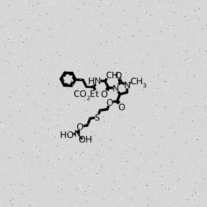 CCOC(=O)C(CCc1ccccc1)NC(C)C(=O)N1C(=O)N(C)CC1C(=O)OCCSCCON(O)O